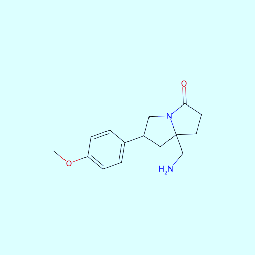 COc1ccc(C2CN3C(=O)CCC3(CN)C2)cc1